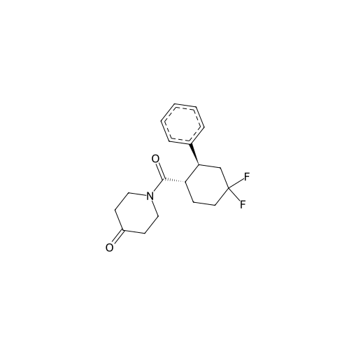 O=C1CCN(C(=O)[C@H]2CCC(F)(F)C[C@@H]2c2ccccc2)CC1